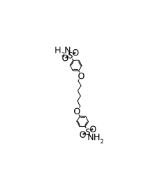 NS(=O)(=O)c1ccc(OCCCCCCOc2ccc(S(N)(=O)=O)cc2)cc1